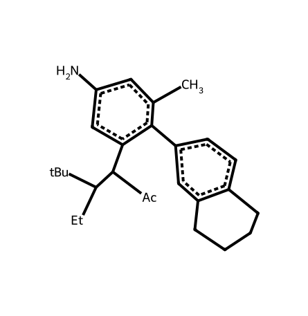 CCC(C(C(C)=O)c1cc(N)cc(C)c1-c1ccc2c(c1)CCCC2)C(C)(C)C